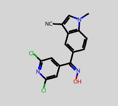 Cn1cc(C#N)c2cc(C(=NO)c3cc(Cl)nc(Cl)c3)ccc21